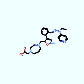 CCN(N=Cc1ccccc1C1=CNOC1CN1CCCN(CC(=O)O)CC1)c1ccncc1